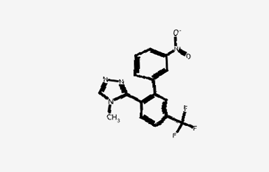 Cn1cnnc1-c1ccc(C(F)(F)F)cc1-c1cccc([N+](=O)[O-])c1